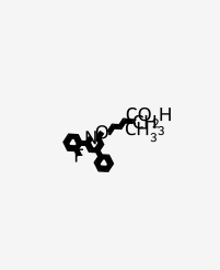 CC(C)(CCCCOc1cc(-c2ccccc2)cc(-c2ccccc2F)n1)C(=O)O